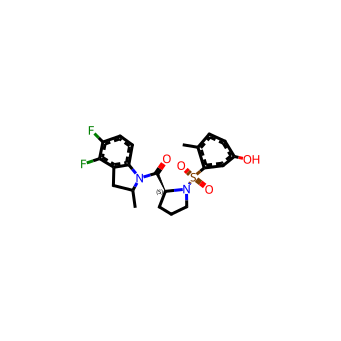 Cc1ccc(O)cc1S(=O)(=O)N1CCC[C@H]1C(=O)N1c2ccc(F)c(F)c2CC1C